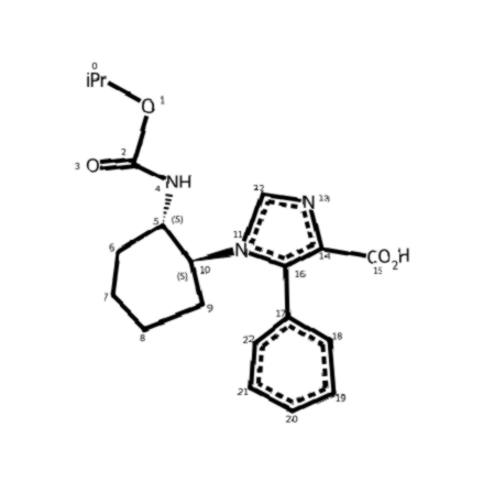 CC(C)OC(=O)N[C@H]1CCCC[C@@H]1n1cnc(C(=O)O)c1-c1ccccc1